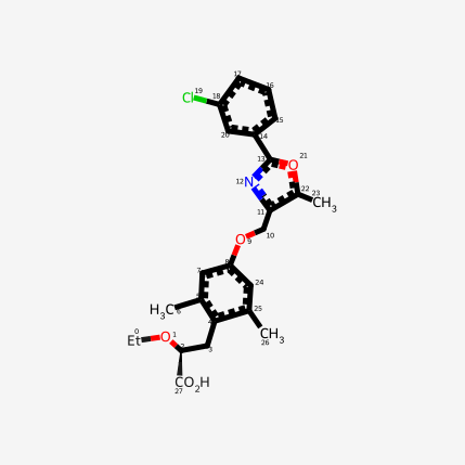 CCO[C@@H](Cc1c(C)cc(OCc2nc(-c3cccc(Cl)c3)oc2C)cc1C)C(=O)O